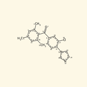 Cc1cc(C)c(C(=O)c2ccc(-n3ccnc3)c(Cl)c2)c(C)c1